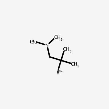 CC(C)C(C)(C)CN(C)C(C)(C)C